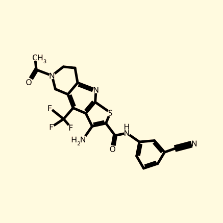 CC(=O)N1CCc2nc3sc(C(=O)Nc4cccc(C#N)c4)c(N)c3c(C(F)(F)F)c2C1